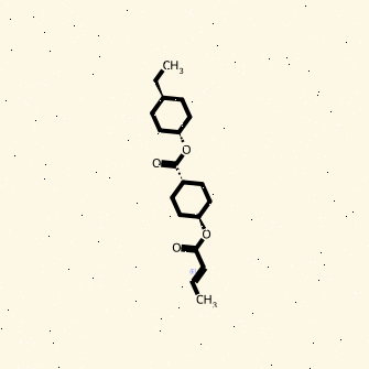 C/C=C/C(=O)O[C@H]1CC[C@H](C(=O)O[C@H]2CC[C@H](CC)CC2)CC1